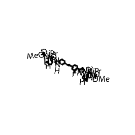 COC(=O)N[C@H](C(=O)N1[C@@H]2C[C@@H]2C[C@H]1c1nc(-c2ccc(C#Cc3ccc4nc([C@@H]5C[C@H]6C[C@H]6N5C(=O)[C@@H](NC(=O)OC)C(C)C)[nH]c4c3)cc2F)c[nH]1)C(C)C